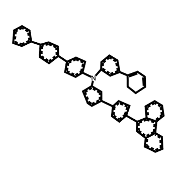 C1=CCCC(c2cccc(N(c3ccc(-c4ccc(-c5ccccc5)cc4)cc3)c3cccc(-c4ccc(-c5cc6ccccc6c6ccccc56)cc4)c3)c2)=C1